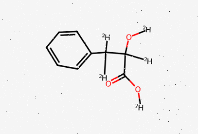 [2H]OC(=O)C([2H])(O[2H])C([2H])([2H])c1ccccc1